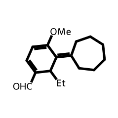 CCC1C(C=O)=CC=C(OC)C1=C1CCCCCC1